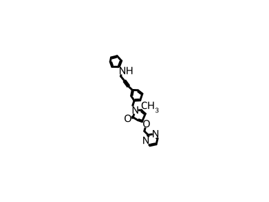 Cc1cc(OCc2ncccn2)cc(=O)n1Cc1cccc(C#CCNc2ccccc2)c1